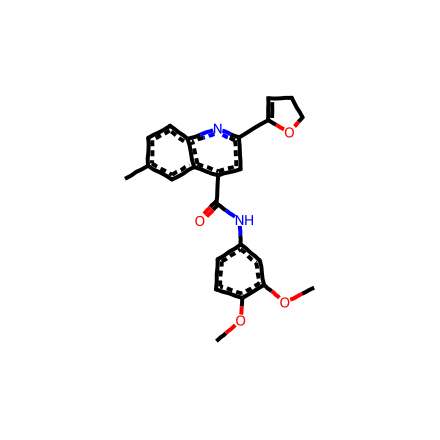 COc1ccc(NC(=O)c2cc(C3=CCCO3)nc3ccc(C)cc23)cc1OC